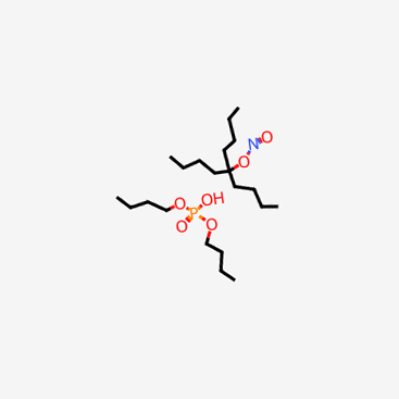 CCCCC(CCCC)(CCCC)ON=O.CCCCOP(=O)(O)OCCCC